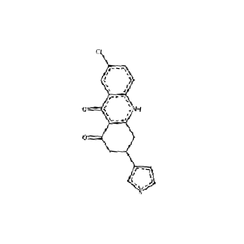 O=C1CC(c2ccsc2)Cc2[nH]c3ccc(Cl)cc3c(=O)c21